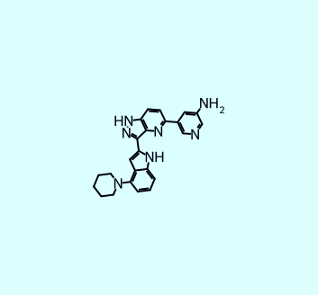 Nc1cncc(-c2ccc3[nH]nc(-c4cc5c(N6CCCCC6)cccc5[nH]4)c3n2)c1